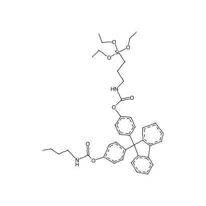 CCCCNC(=O)Oc1ccc(C2(c3ccc(OC(=O)NCCC[Si](OCC)(OCC)OCC)cc3)c3ccccc3-c3ccccc32)cc1